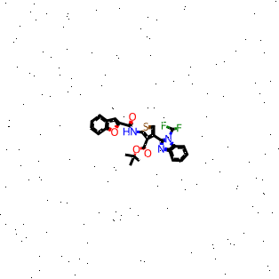 CC(C)(C)OC(=O)c1c(-c2nc3ccccc3n2C(F)F)csc1NC(=O)c1cc2ccccc2o1